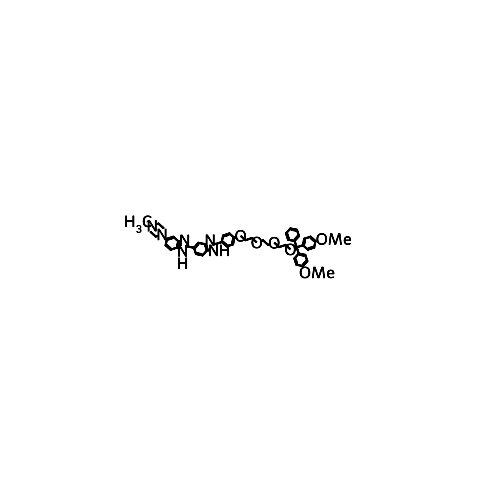 COc1ccc(C(OCCOCCOCCOc2ccc(-c3nc4cc(-c5nc6cc(N7CCN(C)CC7)ccc6[nH]5)ccc4[nH]3)cc2)(c2ccccc2)c2ccc(OC)cc2)cc1